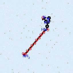 Cc1noc(C)c1-c1cnc2c(-c3ccc(C(=O)NCCOCCOCCOCCOCCOCCOCCOCCOCCOC(N)=O)cc3)cn([C@@H](C)c3ccccn3)c2c1